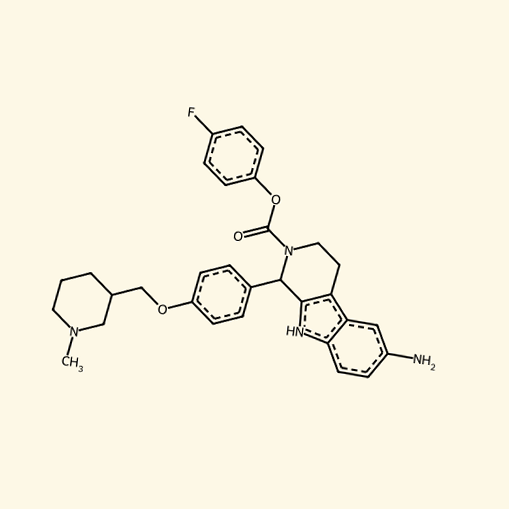 CN1CCCC(COc2ccc(C3c4[nH]c5ccc(N)cc5c4CCN3C(=O)Oc3ccc(F)cc3)cc2)C1